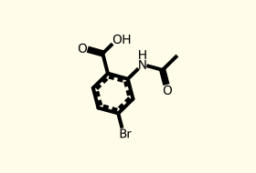 CC(=O)Nc1cc(Br)ccc1C(=O)O